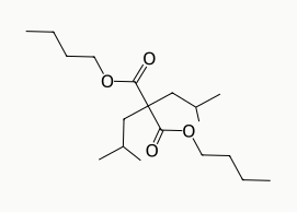 CCCCOC(=O)C(CC(C)C)(CC(C)C)C(=O)OCCCC